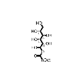 CCCCCCCCC(=O)OC(O)[C@@H](O)[C@@H](O)[C@H](O)[C@H](O)CO